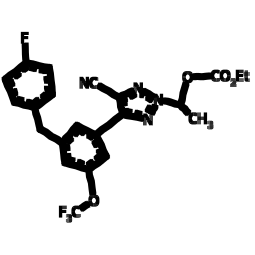 CCOC(=O)OC(C)n1nc(C#N)c(-c2cc(Cc3ccc(F)cc3)cc(OC(F)(F)F)c2)n1